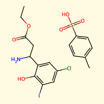 CCOC(=O)CC(N)c1cc(Cl)cc(I)c1O.Cc1ccc(S(=O)(=O)O)cc1